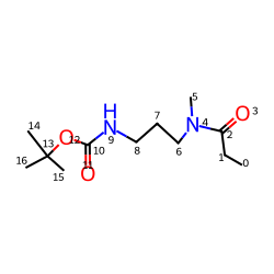 CCC(=O)N(C)CCCNC(=O)OC(C)(C)C